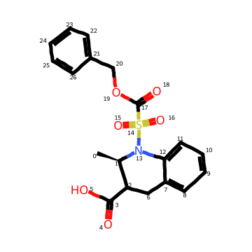 C[C@@H]1C(C(=O)O)Cc2ccccc2N1S(=O)(=O)C(=O)OCc1ccccc1